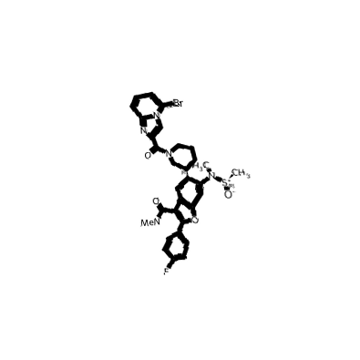 CNC(=O)c1c(-c2ccc(F)cc2)oc2cc(N(C)[S@+](C)[O-])c([C@H]3CCCN(C(=O)c4cn5c(Br)cccc5n4)C3)cc12